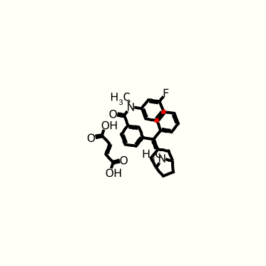 CN(C(=O)c1cccc(C(=C2CC3CCC(C2)N3C)c2ccccc2)c1)c1cccc(F)c1.O=C(O)/C=C/C(=O)O